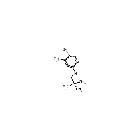 CC(C)(CNc1cc(C(F)(F)F)c(Br)cn1)C(F)(F)F